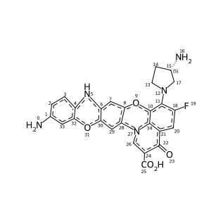 Nc1ccc2[nH]c3cc4oc5c(N6CC[C@H](N)C6)c(F)cc6c(=O)c(C(=O)O)cn(c4cc3oc2c1)c56